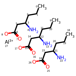 CCCC(N)CC(=O)[O-].CCCC(N)CC(=O)[O-].CCCC(N)CC(=O)[O-].[Al+3]